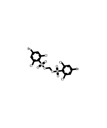 O=S(=O)(OCOS(=O)(=O)c1c(Cl)cc(Br)cc1Cl)c1c(Cl)cc(Br)cc1Cl